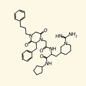 N=C(N)N1CCCC(CC(NC(=O)CN2C(=O)CN(CCCc3ccccc3)C(=O)C2Cc2ccccc2)C(=O)NC2CCCC2)C1